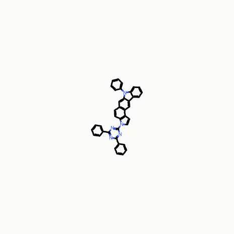 c1ccc(-c2nc(-c3ccccc3)nc(-n3ccc4c5cc6c7ccccc7n(-c7ccccc7)c6cc5ccc43)n2)cc1